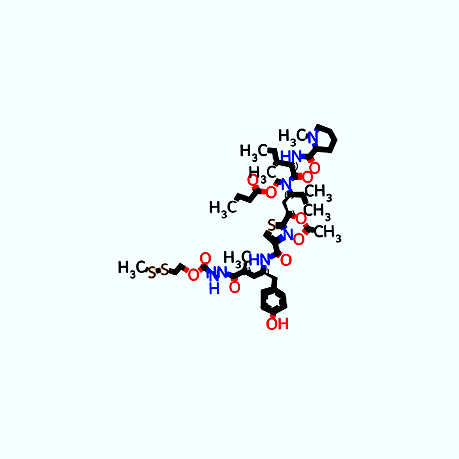 CCCC(=O)OCN(C(=O)[C@@H](NC(=O)C1CCCCN1C)C(C)CC)[C@H](C[C@@H](OC(C)=O)c1nc(C(=O)N[C@@H](Cc2ccc(O)cc2)C[C@H](C)C(=O)NNC(=O)OCCSSC)cs1)C(C)C